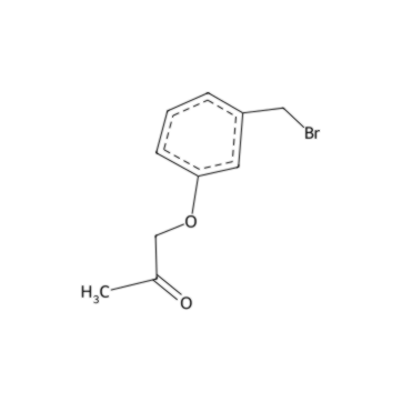 CC(=O)COc1cccc(CBr)c1